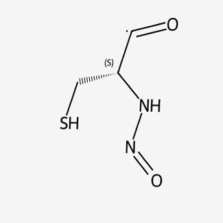 O=[C][C@@H](CS)NN=O